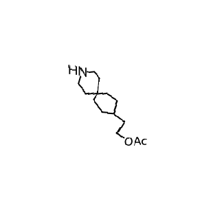 CC(=O)OCCC1CCC2(CCNCC2)CC1